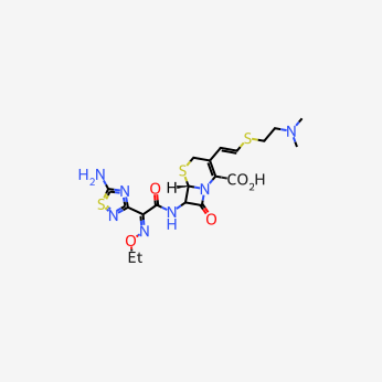 CCON=C(C(=O)NC1C(=O)N2C(C(=O)O)=C(C=CSCCN(C)C)CS[C@@H]12)c1nsc(N)n1